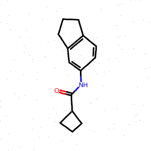 O=C(Nc1ccc2c(c1)CCC2)C1CCC1